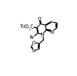 CCOC(=O)c1c(Br)n(Cc2cnco2)c2ncccc2c1=O